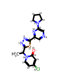 CC(c1nnc(-c2cncc(N3CCCC3)n2)s1)n1ccc(Cl)cc1=O